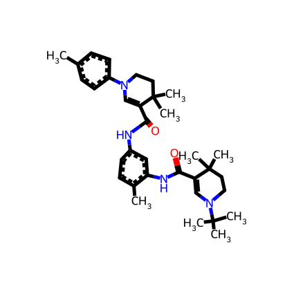 Cc1ccc(N2C=C(C(=O)Nc3ccc(C)c(NC(=O)C4=CN(C(C)(C)C)CCC4(C)C)c3)C(C)(C)CC2)cc1